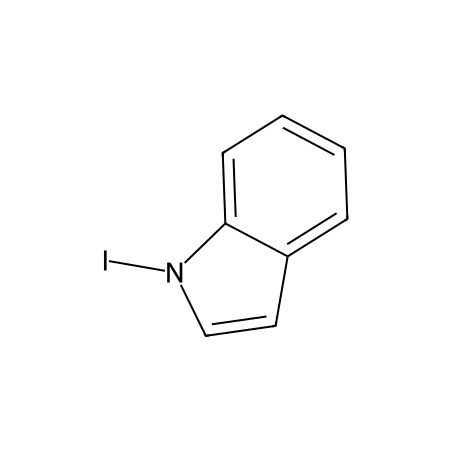 In1ccc2ccccc21